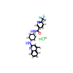 Cc1cc(N[C@H]2CC[C@@H](NC(=O)c3ccc(C(F)(F)F)nc3)CC2)nc2ccccc12.Cl